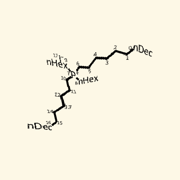 CCCCCCCCCCCCCCCC[P+](CCCCCC)(CCCCCC)CCCCCCCCCCCCCCCC.[I-]